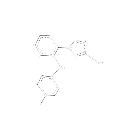 CNc1nnc(-c2ccccc2Nc2ccc(C(F)(F)F)cc2)o1